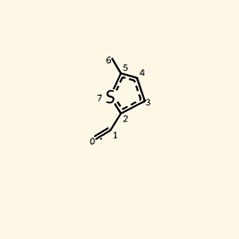 [CH]=Cc1ccc(C)s1